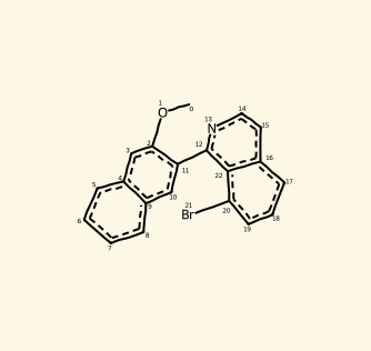 COc1cc2ccccc2cc1-c1nccc2cccc(Br)c12